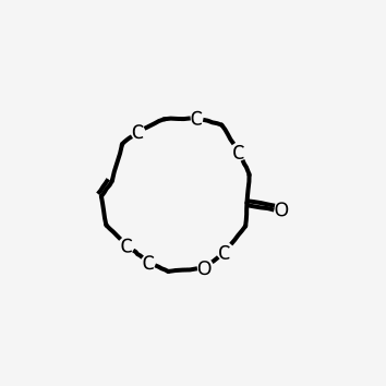 O=C1CCCCCCC/C=C/CCCCOCC1